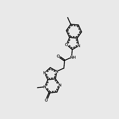 Cc1ccc2nc(NC(=O)Cn3cnc4c3ncc(=O)n4C)oc2c1